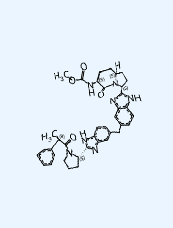 COC(=O)N[C@H]1CC[C@H]2CC[C@@H](c3nc4cc(Cc5ccc6[nH]c([C@@H]7CCCN7C(=O)[C@H](C)c7ccccc7)nc6c5)ccc4[nH]3)N2C1=O